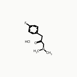 CN(C)CC(=O)Cc1ccc(F)cc1.Cl